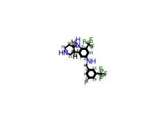 Fc1cc(CNc2cc3c(c(C(F)(F)F)c2)N[C@H]2CCNC[C@@H]32)cc(C(F)(F)F)c1